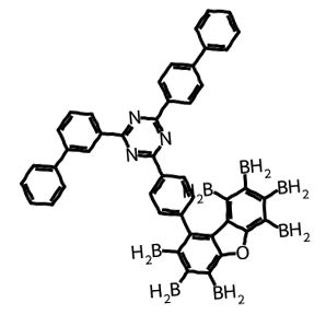 Bc1c(B)c(B)c2c(oc3c(B)c(B)c(B)c(-c4ccc(-c5nc(-c6ccc(-c7ccccc7)cc6)nc(-c6cccc(-c7ccccc7)c6)n5)cc4)c32)c1B